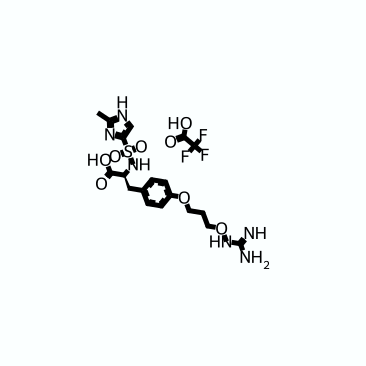 Cc1nc(S(=O)(=O)N[C@@H](Cc2ccc(OCCCONC(=N)N)cc2)C(=O)O)c[nH]1.O=C(O)C(F)(F)F